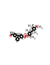 COc1ccc(C(C)(C)c2ccc(OC(=O)Oc3ccc(C(C)(c4ccccc4)c4ccc(C(C)=O)cc4)cc3)c(C)c2)cc1C